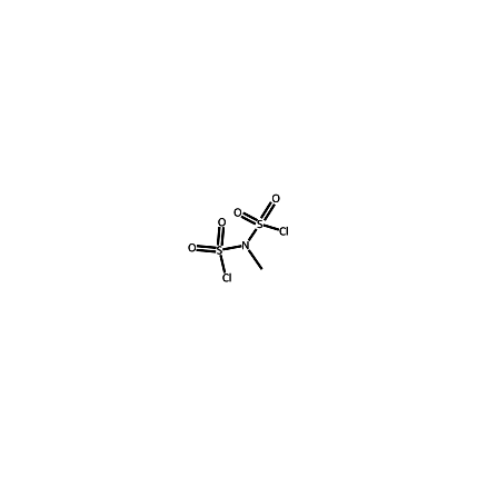 CN(S(=O)(=O)Cl)S(=O)(=O)Cl